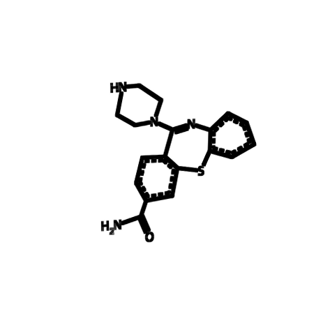 NC(=O)c1ccc2c(c1)Sc1ccccc1N=C2N1CCNCC1